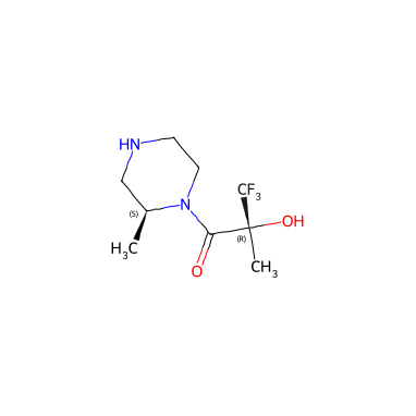 C[C@H]1CNCCN1C(=O)[C@@](C)(O)C(F)(F)F